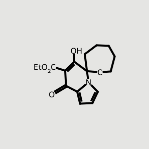 CCOC(=O)C1=C(O)C2(CCCCCC2)n2cccc2C1=O